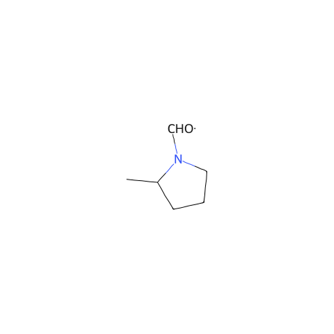 CC1CCCN1[C]=O